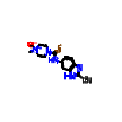 CC(C)(C)c1nc2ccc(NC(=S)N3CC[N+](C)([O-])CC3)cc2[nH]1